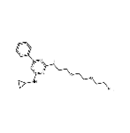 NCCOCCOCCNc1nc(NC2CC2)nc(-c2ccccc2)n1